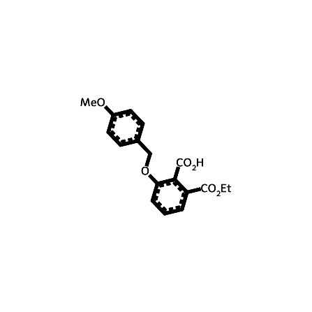 CCOC(=O)c1cccc(OCc2ccc(OC)cc2)c1C(=O)O